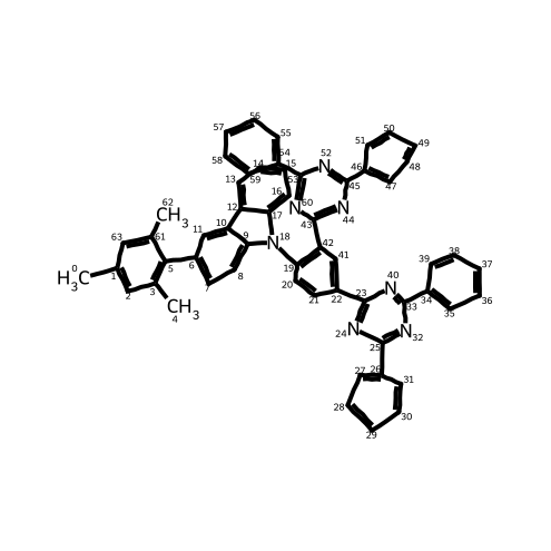 Cc1cc(C)c(-c2ccc3c(c2)c2ccccc2n3-c2ccc(-c3nc(-c4ccccc4)nc(-c4ccccc4)n3)cc2-c2nc(-c3ccccc3)nc(-c3ccccc3)n2)c(C)c1